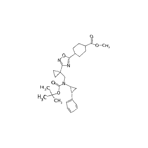 COC(=O)C1CCC(c2nc(C3(CN(C(=O)OC(C)(C)C)C4CC4c4ccccc4)CC3)no2)CC1